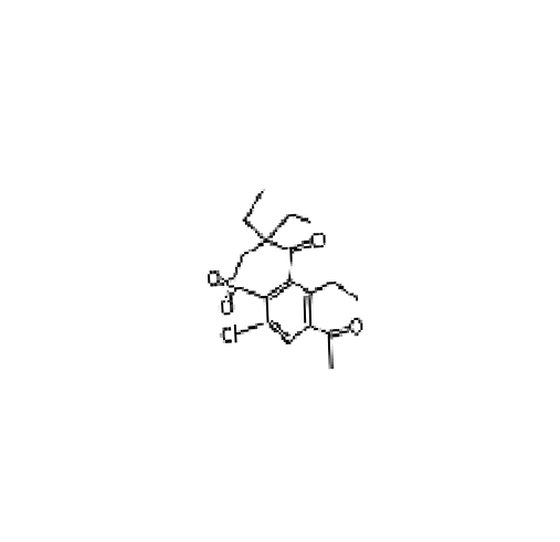 CCc1c(C(C)=O)cc(Cl)c2c1C(=O)C(CC)(CC)CS2(=O)=O